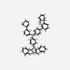 c1ccc(-c2cccc(N(c3ccc(-c4cccc5c4oc4ccccc45)cc3)c3ccc(N4c5c(sc6ccccc56)C5Sc6ccccc6C54)cc3)c2)cc1